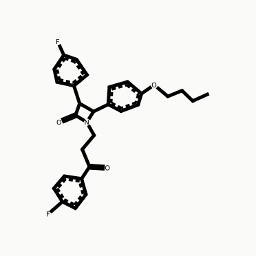 CCCCOc1ccc(C2C(c3ccc(F)cc3)C(=O)N2CCC(=O)c2ccc(F)cc2)cc1